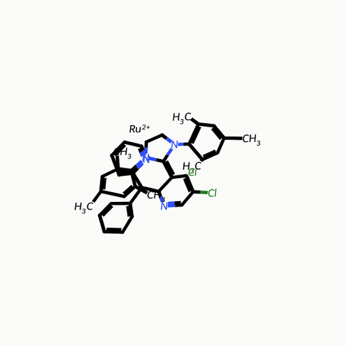 Cc1cc(C)c(N2CCN(c3c(C)cc(C)cc3C)C2=C2C(Cl)=C(Cl)C=NC2C(c2ccccc2)c2ccccn2)c(C)c1.[Ru+2]